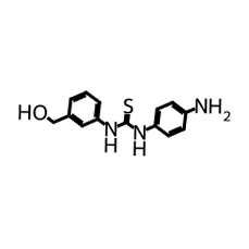 Nc1ccc(NC(=S)Nc2cccc(CO)c2)cc1